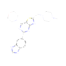 CN1CCN(Cc2nc3nc(-c4ccc5[nH]cnc5c4)nc(N4CCOCC4)c3s2)CC1